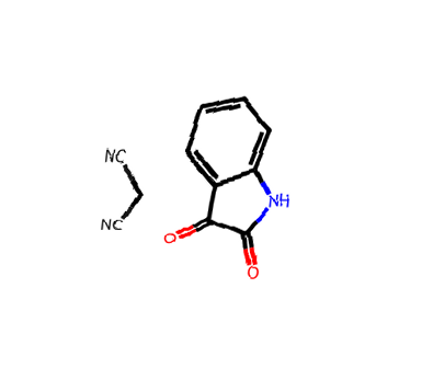 N#CCC#N.O=C1Nc2ccccc2C1=O